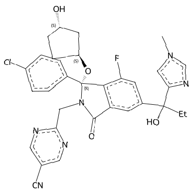 CCC(O)(c1cc(F)c2c(c1)C(=O)N(Cc1ncc(C#N)cn1)[C@@]2(O[C@H]1CC[C@H](O)C1)c1ccc(Cl)cc1)c1cn(C)cn1